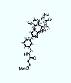 COCCC(=O)NCc1cccc(-c2cc3c4c(ncn4C)c(N(C)C(=O)OC(C)(C)C)[nH]c-3n2)c1